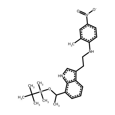 Cc1cc([N+](=O)[O-])ccc1NCCc1c[nH]c2c(C(C)O[Si](C)(C)C(C)(C)C)cccc12